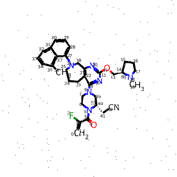 C=C(F)C(=O)N1CCN(c2nc(OC[C@H]3CCCN3C)nc3c2CCCN(c2cccc4cccc(C)c24)C3)C[C@@H]1CC#N